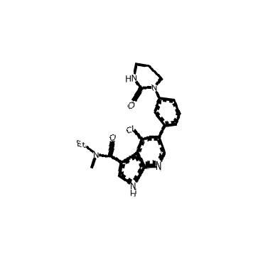 CCN(C)C(=O)c1c[nH]c2ncc(-c3cccc(N4CCCNC4=O)c3)c(Cl)c12